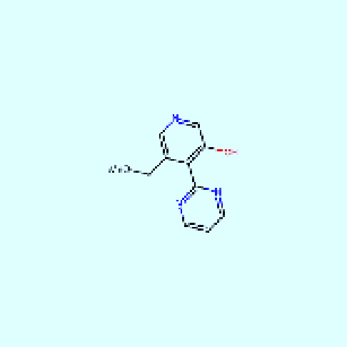 COCc1cncc(O)c1-c1ncccn1